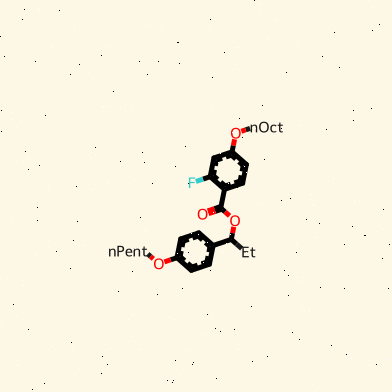 CCCCCCCCOc1ccc(C(=O)OC(CC)c2ccc(OCCCCC)cc2)c(F)c1